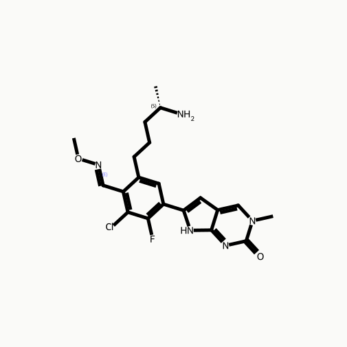 CO/N=C/c1c(CCC[C@H](C)N)cc(-c2cc3cn(C)c(=O)nc3[nH]2)c(F)c1Cl